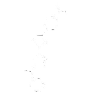 O=C(c1ccccc1)C1CC(c2csc(C3CCN(C(=O)O)CC3)n2)=NO1